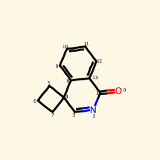 O=C1N=CC2(CCC2)c2ccccc21